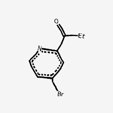 CCC(=O)c1cc(Br)ccn1